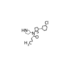 CC=CC(=O)N(c1ccc(-c2cccc(Cl)c2)s1)C1CCNC1